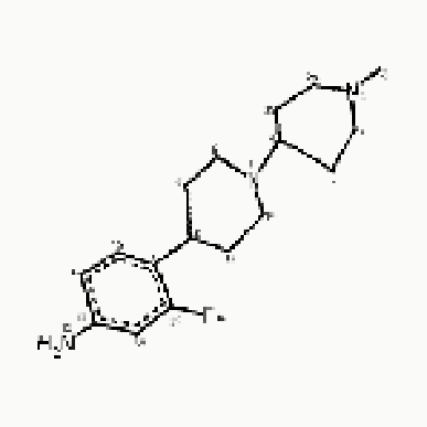 CN1CCC(N2CCC(c3ccc(N)cc3F)CC2)CC1